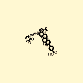 C=C(C)[C@@H]1CC[C@]2(CNCCCN3CCSC(=O)C3=O)CC[C@]3(C)[C@H](CC[C@@H]4[C@@]5(C)CC=C(c6ccc(C(=O)O)cc6)C(C)(C)[C@@H]5CC[C@]43C)[C@@H]12